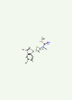 Cc1cc2c(cc1C)C([C@H]1C[C@H](N(C)C(=N)OC(C)(C)C)C1)C=C2I